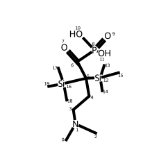 CN(C)CCC(C(=O)P(=O)(O)O)([Si](C)(C)C)[Si](C)(C)C